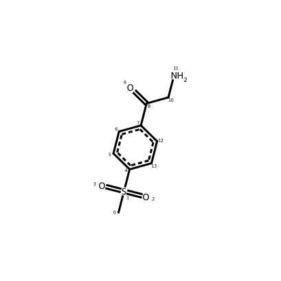 CS(=O)(=O)c1ccc(C(=O)CN)cc1